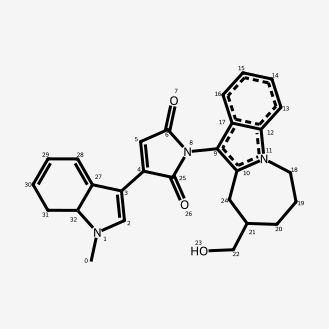 CN1C=C(C2=CC(=O)N(c3c4n(c5ccccc35)CCCC(CO)C4)C2=O)C2=CC=CCC21